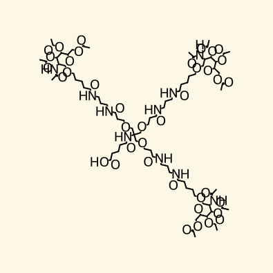 CC(=O)NC1C(OCCCCC(=O)NCCCNC(=O)CCOCC(COCCC(=O)NCCCNC(=O)CCCCOC2OC(COC(C)=O)C(OC(C)=O)C(OC(C)=O)C2NC(C)=O)(COCCC(=O)NCCCNC(=O)CCCCOC2OC(COC(C)=O)C(OC(C)=O)C(OC(C)=O)C2NC(C)=O)NC(=O)CCCC(=O)O)OC(COC(C)=O)C(OC(C)=O)C1OC(C)=O